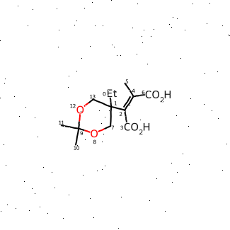 CCC1(/C(C(=O)O)=C(\C)C(=O)O)COC(C)(C)OC1